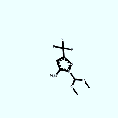 COC(OC)n1nc(C(F)(F)F)cc1N